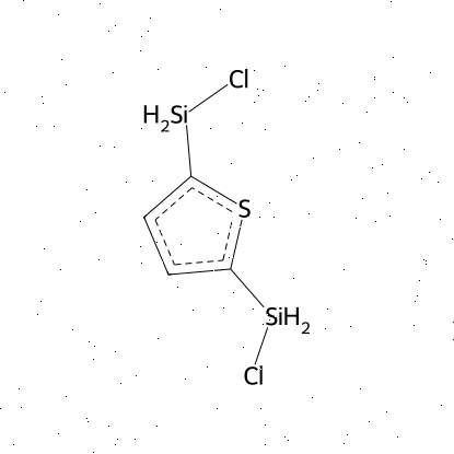 Cl[SiH2]c1ccc([SiH2]Cl)s1